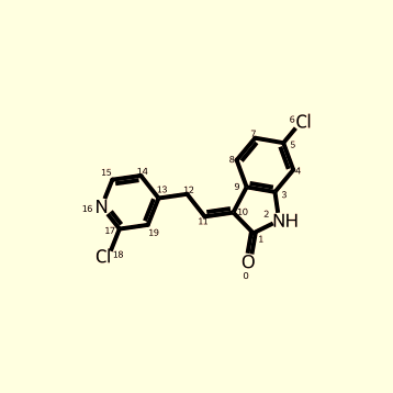 O=C1Nc2cc(Cl)ccc2/C1=C\Cc1ccnc(Cl)c1